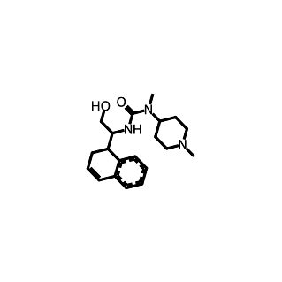 CN1CCC(N(C)C(=O)NC(CO)C2CC=Cc3ccccc32)CC1